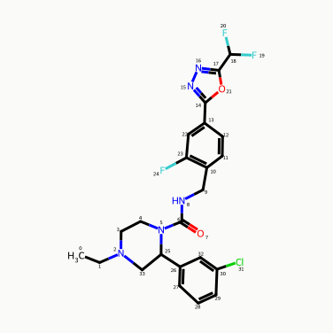 CCN1CCN(C(=O)NCc2ccc(-c3nnc(C(F)F)o3)cc2F)C(c2cccc(Cl)c2)C1